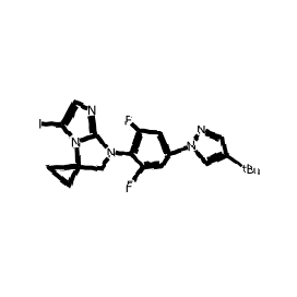 CC(C)(C)c1cnn(-c2cc(F)c(N3CC4(CC4)n4c(I)cnc43)c(F)c2)c1